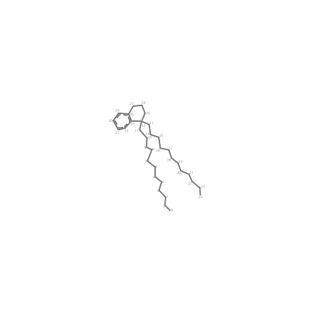 CCCCCCCCCCCCC1(CCCCCCCCCCCC)CCCc2ccccc21